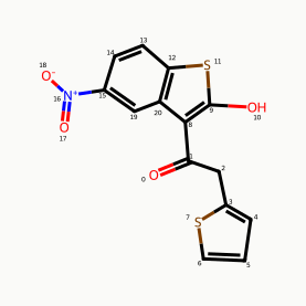 O=C(Cc1cccs1)c1c(O)sc2ccc([N+](=O)[O-])cc12